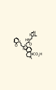 C[C@H]1CCc2c(ccc3c2nc(CCn2ccccc2=O)n3CC(=O)NCc2ncnn2C)N1C(=O)O